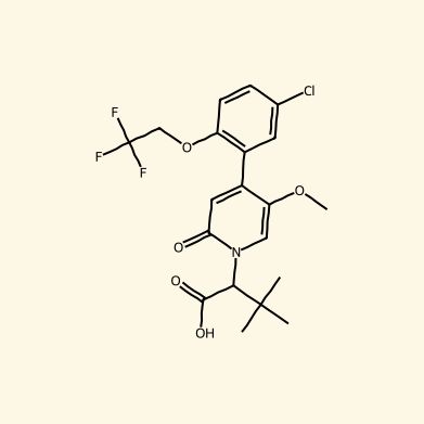 COc1cn(C(C(=O)O)C(C)(C)C)c(=O)cc1-c1cc(Cl)ccc1OCC(F)(F)F